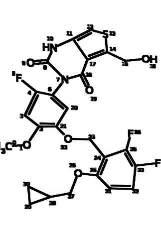 COc1cc(F)c(-n2c(=O)[nH]c3csc(CO)c3c2=O)cc1OCc1c(OCC2CC2)ccc(F)c1F